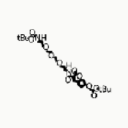 CC(C)(C)OC(=O)COc1ccc2cc(C(=O)NCCCOCCOCCOCCCNC(=O)OC(C)(C)C)c(=O)oc2c1